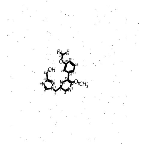 COc1ncc(Cn2cnc(CO)n2)nc1-c1cccc(OC(F)F)c1